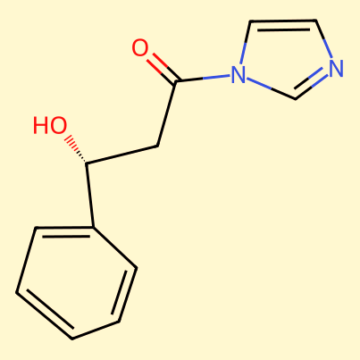 O=C(C[C@@H](O)c1ccccc1)n1ccnc1